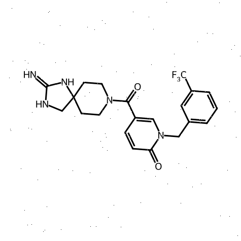 N=C1NCC2(CCN(C(=O)c3ccc(=O)n(Cc4cccc(C(F)(F)F)c4)c3)CC2)N1